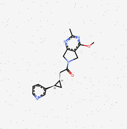 COc1nc(C)nc2c1CN(C(=O)C[C@@H]1C[C@H]1c1cccnc1)C2